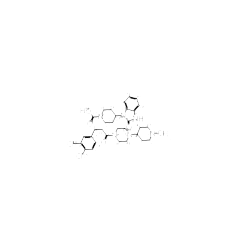 CN1CCC(N2CCN(C(=O)C(Cc3ccc(Cl)c(Cl)c3)[C@H]3CC(n4c(=O)[nH]c5ccccc54)CCN3C(=O)O)CC2)CC1